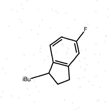 CCC(C)C1CCc2cc(F)ccc21